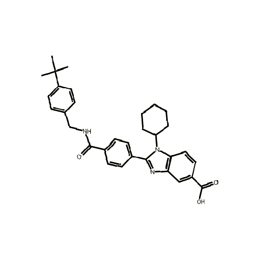 CC(C)(C)c1ccc(CNC(=O)c2ccc(-c3nc4cc(C(=O)O)ccc4n3C3CCCCC3)cc2)cc1